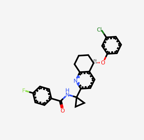 O=C(NC1(c2ccc3c(n2)CCC[C@@H]3Oc2cccc(Cl)c2)CC1)c1ccc(F)cc1